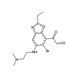 CCc1nc2cc(NCCN(C)C)c(Br)c(C(=O)C=O)c2o1